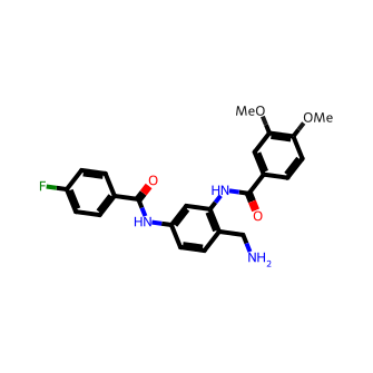 COc1ccc(C(=O)Nc2cc(NC(=O)c3ccc(F)cc3)ccc2CN)cc1OC